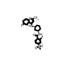 CS(=O)(=O)c1ccc(C(=O)N[C@@H]2CCC[C@H](Nc3cc(C(F)(F)F)nc4ccc(F)cc34)C2)c(F)c1